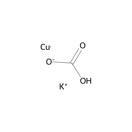 O=C([O-])O.[Cu].[K+]